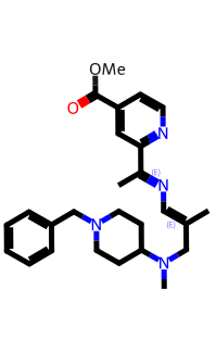 COC(=O)c1ccnc(/C(C)=N/C=C(\C)CN(C)C2CCN(Cc3ccccc3)CC2)c1